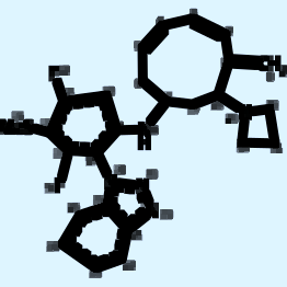 C=C1/C=C\C=C/CC(Nc2cc(F)c(SC)c(F)c2-n2nnc3ccccc32)CC1N1CCC1